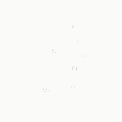 COc1ccc(Cn2cc(C(=O)NCc3ccco3)c(=O)c3c(F)ccc(F)c32)cc1